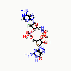 Nc1nc2c(nnn2C2SC3COP(=O)(O)OC4C(CNS(=O)(=O)OC3C2O)OC(n2cnc3c(N)ncnc32)C4F)c(=O)[nH]1